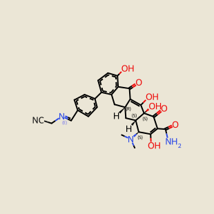 CN(C)[C@@H]1C(O)=C(C(N)=O)C(=O)[C@@]2(O)C(O)=C3C(=O)c4c(O)ccc(-c5ccc(/C=N/CC#N)cc5)c4C[C@H]3C[C@@H]12